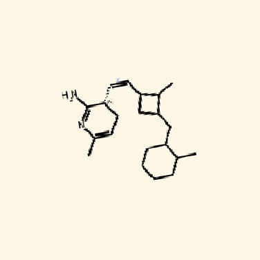 CC1=CC[C@@H](/C=C\C2CC(CC3CCCCC3C)C2C)C(N)=N1